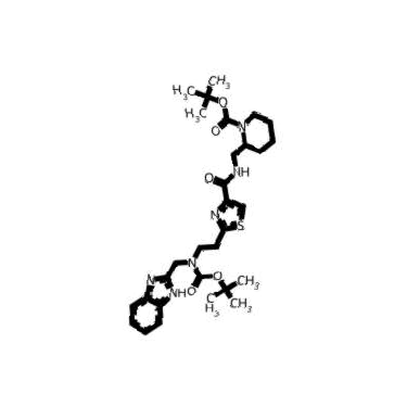 CC(C)(C)OC(=O)N(CCc1nc(C(=O)NCC2CCCCN2C(=O)OC(C)(C)C)cs1)Cc1nc2ccccc2[nH]1